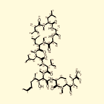 C/C=C\C[C@@H](C)[C@H](O)C(C(=O)N[C@@H](CC)C(=O)N(C)CC(=O)N(C)[C@@H](C)C(N)=O)N(C)C(=O)[C@@H](C(C)C)N(C)C(=O)[C@@H](CC(C)C)N(C)C(=O)[C@@H](CC(C)C)N(C)C(=O)[C@H](C)NC(=O)[C@@H](C)NC(=O)[C@H](CC(C)C)N(C)C(=O)[C@@H](C)C(C)C